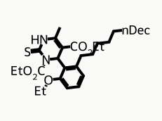 CCCCCCCCCCCCCCCc1cccc(OCC)c1C1C(C(=O)OCC)=C(C)NC(=S)N1C(=O)OCC